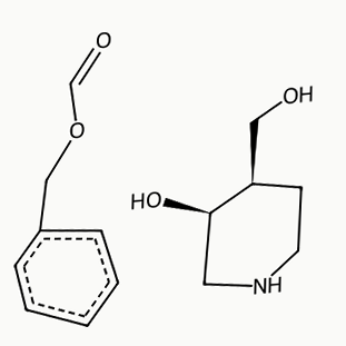 O=COCc1ccccc1.OC[C@H]1CCNC[C@H]1O